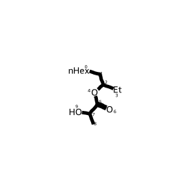 CCCCCCCC(CC)OC(=O)C(C)O